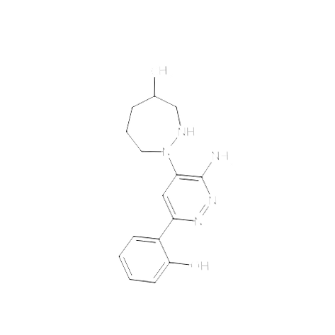 CC1CCCN(c2cc(-c3ccccc3O)nnc2N)NC1